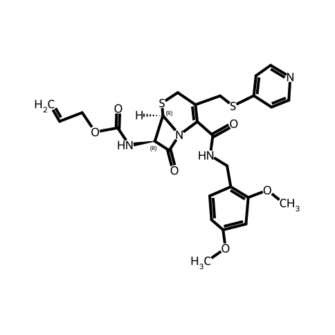 C=CCOC(=O)N[C@@H]1C(=O)N2C(C(=O)NCc3ccc(OC)cc3OC)=C(CSc3ccncc3)CS[C@H]12